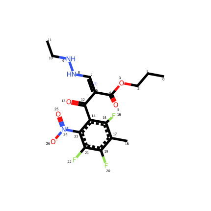 CCCOC(=O)/C(=C/NNCC)C(=O)c1c(F)c(C)c(F)c(F)c1[N+](=O)[O-]